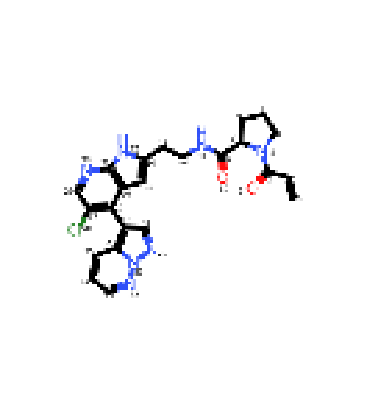 C=CC(=O)N1CCCC1C(=O)NCCc1cc2c(-c3cnn4ncccc34)c(Cl)cnc2[nH]1